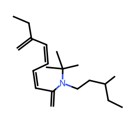 C=C(/C=C\C=C/C(=C)N(CCC(C)CC)C(C)(C)C)CC